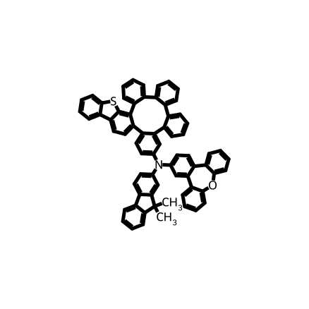 CC1(C)c2ccccc2-c2ccc(N(c3ccc4c(c3)-c3ccccc3Oc3ccccc3-4)c3ccc4c(c3)c3ccccc3c3ccccc3c3ccccc3c3c4ccc4c5ccccc5sc43)cc21